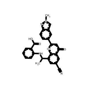 CC(Nc1ccccc1C(=O)O)c1cc(C#N)cc2c(=O)cc(-c3ccc4nn(C)cc4c3)oc12